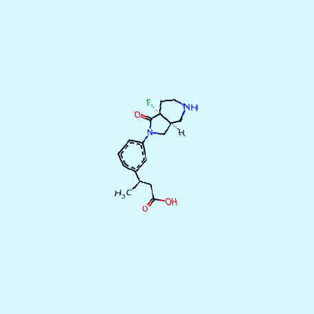 CC(CC(=O)O)c1cccc(N2C[C@@H]3CNCC[C@]3(F)C2=O)c1